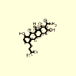 CCC(CC)CCc1ccc(O)c2c1CC1CC3CC(O)=C(C(N)=O)C(=O)[C@@]3(O)C(O)=C1C2=O